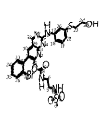 CS(=O)(=O)NCCNC(=O)Oc1nc2nc(Nc3cccc(SCCO)c3)ncc2cc1-c1ccccc1Br